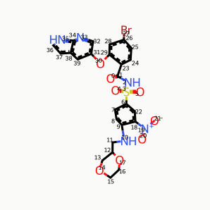 O=C(NS(=O)(=O)c1ccc(NCC2COCCO2)c([N+](=O)[O-])c1)c1ccc(Br)cc1Oc1cnc2[nH]ccc2c1